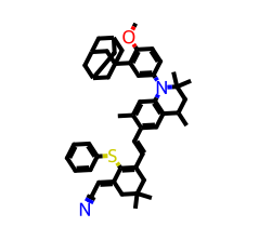 COc1ccc(N2c3cc(C)c(/C=C/C4=C(Sc5ccccc5)C(=C/C#N)/CC(C)(C)C4)cc3C(C)CC2(C)C)cc1C12CC3CC(CC(C3)C1)C2